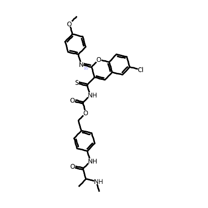 CNC(C)C(=O)Nc1ccc(COC(=O)NC(=S)c2cc3cc(Cl)ccc3o/c2=N\c2ccc(OC)cc2)cc1